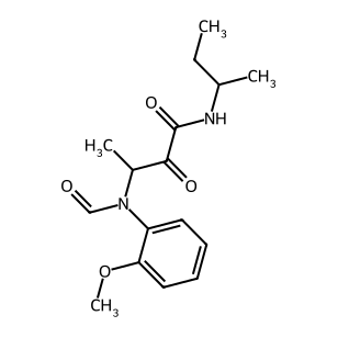 CCC(C)NC(=O)C(=O)C(C)N(C=O)c1ccccc1OC